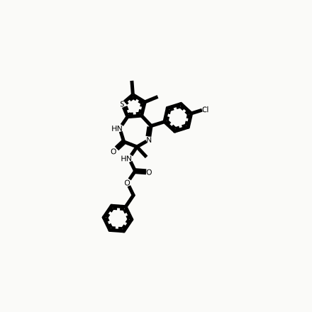 Cc1sc2c(c1C)C(c1ccc(Cl)cc1)=NC(C)(NC(=O)OCc1ccccc1)C(=O)N2